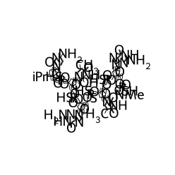 CNOP(=O)(S)OC[C@H]1O[C@@H](n2cnc3c(=O)[nH]c(N)nc32)CC1OP(=O)(S)OC[C@H]1O[C@@H](n2cc(C)c(=O)[nH]c2=O)CC1OP(=S)(S)OC[C@H]1O[C@@H](n2cnc3c(=O)[nH]c(N)nc32)CC1OP(=O)(S)OC[C@H]1O[C@@H](N2C=C(C)C(=O)NC2O)CC1OP(=O)(S)OC[C@H]1O[C@@H](n2ccc(N)nc2=O)CC1C(C)C